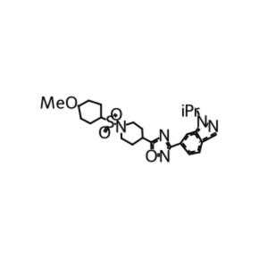 COC1CCC(S(=O)(=O)N2CCC(c3nc(-c4ccc5cnn(C(C)C)c5c4)no3)CC2)CC1